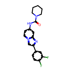 O=C(Nc1ccn2cc(-c3ccc(F)c(F)c3)nc2c1)N1CCCCC1